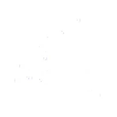 CCCNc1cc(-c2ccc(OCCOC)cc2)cc(C(=O)NC/C(C(N)=O)=C(\C)NC)c1C